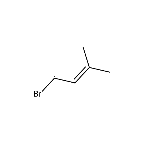 CC(C)=C[CH]Br